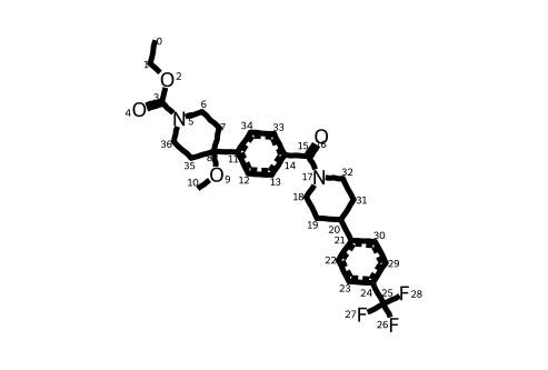 CCOC(=O)N1CCC(OC)(c2ccc(C(=O)N3CCC(c4ccc(C(F)(F)F)cc4)CC3)cc2)CC1